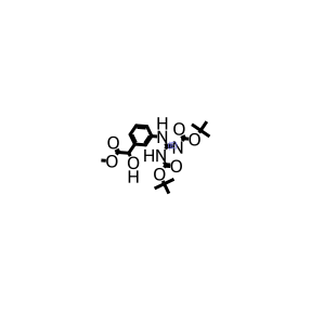 COC(=O)C(O)c1cccc(N/C(=N\C(=O)OC(C)(C)C)NC(=O)OC(C)(C)C)c1